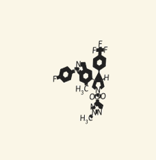 Cc1cc2c(cnn2-c2ccc(F)cc2)cc1[C@@]12CN(S(=O)(=O)c3cnn(C)n3)C[C@@H]1[C@@H]2c1ccc(C(F)(F)F)cc1